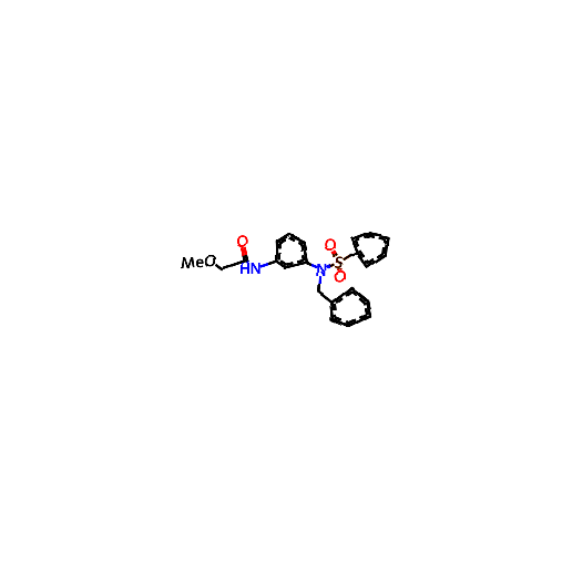 COCC(=O)Nc1cccc(N(Cc2ccccc2)S(=O)(=O)c2ccccc2)c1